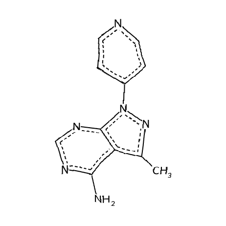 Cc1nn(-c2ccncc2)c2ncnc(N)c12